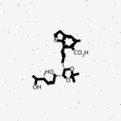 Cc1cc2c(c(/C=C/C[C@@H]3OC(C)(C)O[C@@H]3C(O)/C=C\[C@@H](C)C(C)O)c1C(=O)O)N=CC2